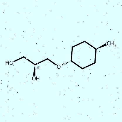 C[C@H]1CC[C@H](OC[C@@H](O)CO)CC1